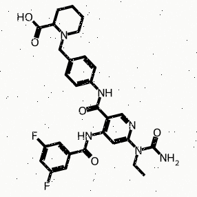 CCN(C(N)=O)c1cc(NC(=O)c2cc(F)cc(F)c2)c(C(=O)Nc2ccc(CN3CCCCC3C(=O)O)cc2)cn1